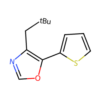 CC(C)(C)Cc1ncoc1-c1cccs1